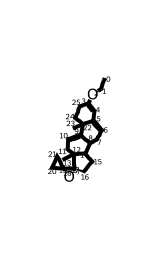 CCOC1=CC2=CCC3C(=CCC4(C)C3CC[C@]43OC34CC4)C2(C)CC1